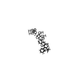 O=c1ccn([C@@H]2O[C@H](COP(=O)(O)O)C(O)[C@@H]2O)c(=O)n1Cc1cc(-c2ccccc2)c(C(F)(F)F)cn1